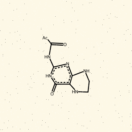 CC(=O)C(=O)Nc1nc2c(c(=O)[nH]1)NCCN2